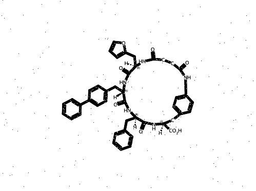 O=C1CCC(=O)N[C@H](Cc2ccco2)C(=O)N[C@@H](Cc2ccc(-c3ccccc3)cc2)C(=O)N[C@H](Cc2ccccc2)C(=O)N[C@H](C(=O)O)Cc2ccc(cc2)N1